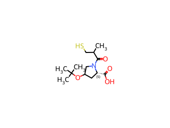 CC(CS)C(=O)N1CC(OC(C)(C)C)C[C@H]1C(=O)O